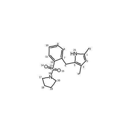 Cc1cc(C)c(Cc2ccccc2S(=O)(=O)N2CCCC2)[nH]1